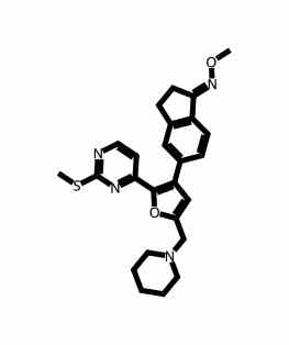 CON=C1CCc2cc(-c3cc(CN4CCCCC4)oc3-c3ccnc(SC)n3)ccc21